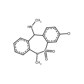 CNC1c2ccccc2N(C)S(=O)(=O)c2cc(Cl)ccc21